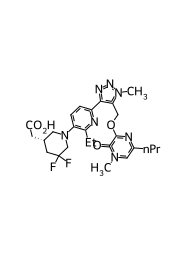 CCCc1cn(C)c(=O)c(OCc2c(-c3ccc(N4C[C@@H](CC(=O)O)CC(F)(F)C4)c(CC)n3)nnn2C)n1